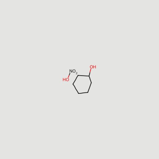 O=[N+]([O-])O.OC1CCCCC1